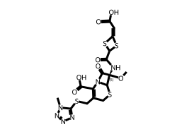 CO[C@@]1(NC(=O)C2SC(=CC(=O)O)S2)C(=O)N2C(C(=O)O)=C(CSc3nnnn3C)CSC21